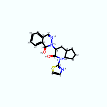 O=C(Nc1nccs1)C(CC1CCCC1)n1ncc2ccccc2c1=O